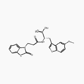 COc1ccc2occ(C[C@H](NC(=O)CCn3c(=O)sc4ccccc43)B(O)O)c2c1